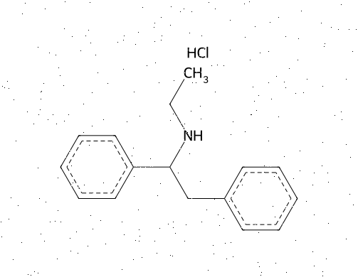 CCNC(Cc1ccccc1)c1ccccc1.Cl